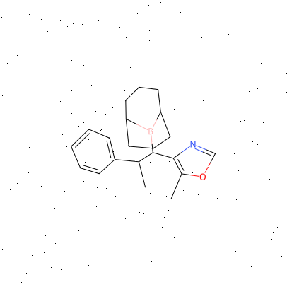 Cc1ocnc1C(B1C2CCCC1CCC2)C(C)c1ccccc1